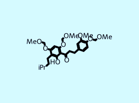 COCOc1ccc(CCC(=O)c2c(OCOC)cc(OCOC)c(CCC(C)C)c2O)cc1OC